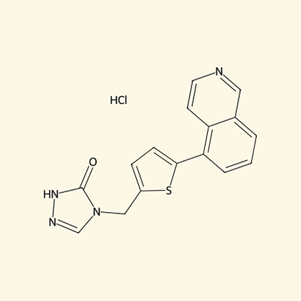 Cl.O=c1[nH]ncn1Cc1ccc(-c2cccc3cnccc23)s1